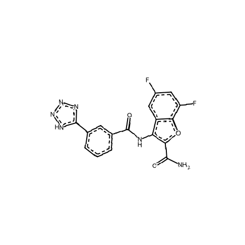 NC(=O)c1oc2c(F)cc(F)cc2c1NC(=O)c1cccc(-c2nnn[nH]2)c1